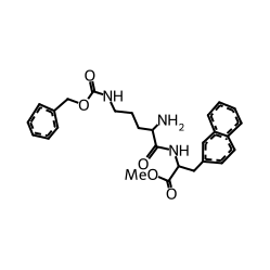 COC(=O)C(Cc1ccc2ccccc2c1)NC(=O)C(N)CCCNC(=O)OCc1ccccc1